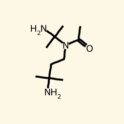 CC(=O)N(CCC(C)(C)N)C(C)(C)N